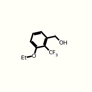 CCOc1cccc([CH]O)c1C(F)(F)F